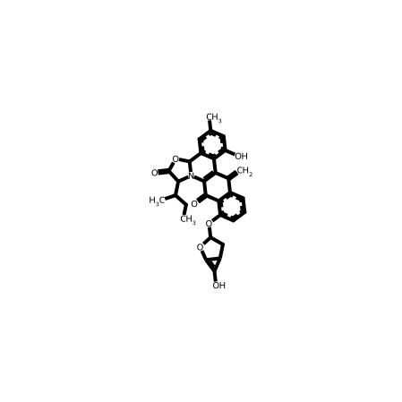 C=C1C2=C(C(=O)c3c(OC4CC5C(O)=C5O4)cccc31)N1C(OC(=O)C1C(C)CC)c1cc(C)cc(O)c12